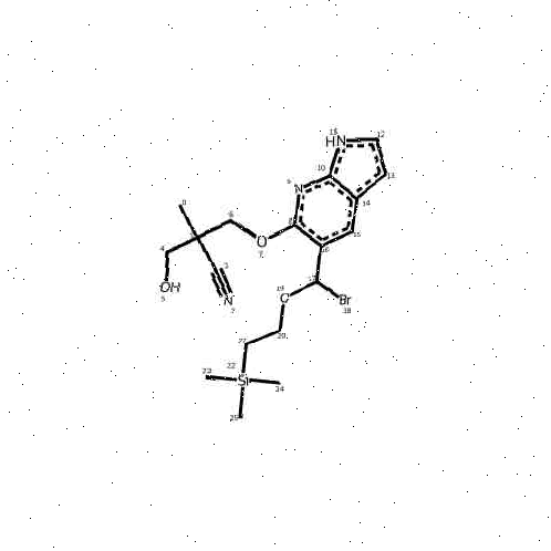 CC(C#N)(CO)COc1nc2[nH]ccc2cc1C(Br)OCC[Si](C)(C)C